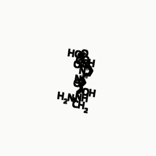 C=C(N)NC[C@@H](O)c1cc([C@@H]2CC[C@H]3CN2C(=O)N3OS(=O)(=O)O)no1